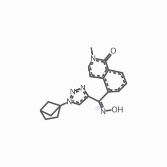 Cn1ccc2c(/C(=N\O)c3cn(C45CCC(C4)C5)nn3)cccc2c1=O